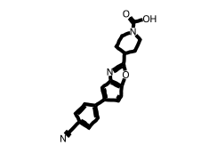 N#Cc1ccc(-c2ccc3oc(C4CCN(C(=O)O)CC4)nc3c2)cc1